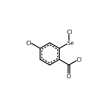 O=C(Cl)c1ccc(Cl)cc1[Se]Cl